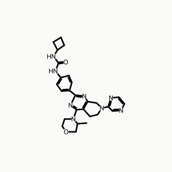 CC1COCCN1c1nc(-c2ccc(NC(=O)NC3CCC3)cc2)nc2c1CCN(c1cnccn1)C2